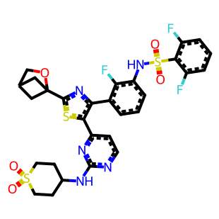 O=S1(=O)CCC(Nc2nccc(-c3sc(C45CC(CO4)C5)nc3-c3cccc(NS(=O)(=O)c4c(F)cccc4F)c3F)n2)CC1